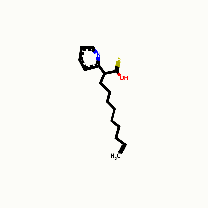 C=CCCCCCCCC(C(O)=S)c1ccccn1